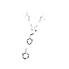 C[Si](C)(C)CCOCN(COCC[Si](C)(C)C)S(=O)(=O)/C=C/c1ccc(OCc2ccccc2)cc1